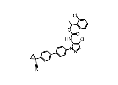 CC(OC(=O)Nc1c(Cl)cnn1-c1ccc(-c2ccc(C3(C#N)CC3)cc2)cc1)c1ccccc1Cl